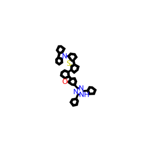 c1ccc(C2=NC(c3ccc4c(c3)oc3cccc(-c5cccc6c5sc5c(-n7c8ccccc8c8ccccc87)cccc56)c34)=NC(c3ccccc3)N2)cc1